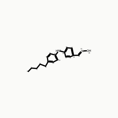 CCCCCc1ccc(Nc2ccc(/C=N/O)cc2)cc1